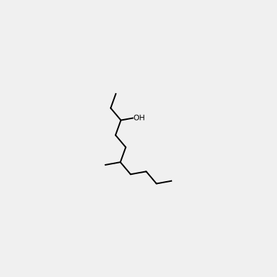 CCCCC(C)CCC(O)CC